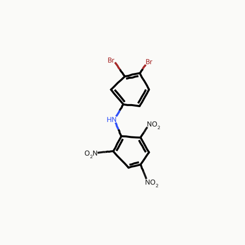 O=[N+]([O-])c1cc([N+](=O)[O-])c(Nc2ccc(Br)c(Br)c2)c([N+](=O)[O-])c1